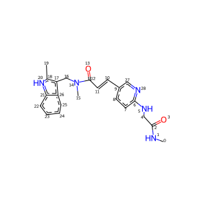 CNC(=O)CNc1ccc(C=CC(=O)N(C)Cc2c(C)[nH]c3ccccc23)cn1